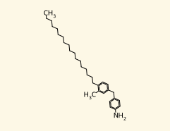 CCCCCCCCCCCCCCCCCCc1ccc(Cc2ccc(N)cc2)cc1C